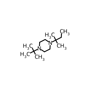 CCC(C)(C)N1CCN(C(C)(C)C)CC1